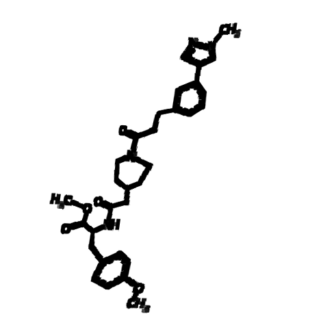 COC(=O)[C@H](Cc1ccc(OC)cc1)NC(=O)CC1CCN(C(=O)CCc2cccc(-c3cnn(C)c3)c2)CC1